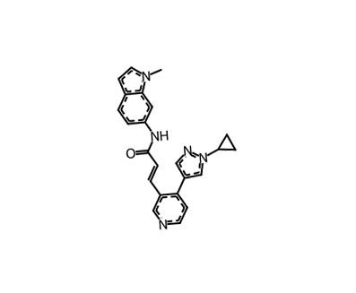 Cn1ccc2ccc(NC(=O)C=Cc3cnccc3-c3cnn(C4CC4)c3)cc21